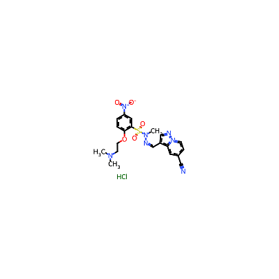 CN(C)CCOc1ccc([N+](=O)[O-])cc1S(=O)(=O)N(C)/N=C\c1cnn2ccc(C#N)cc12.Cl